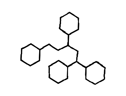 C1CCC(CCC(CC(C2CCCCC2)C2CCCCC2)C2CCCCC2)CC1